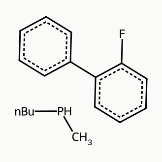 CCCCPC.Fc1ccccc1-c1ccccc1